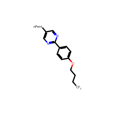 CCCCCc1cnc(-c2ccc(OCCCC(F)(F)F)cc2)nc1